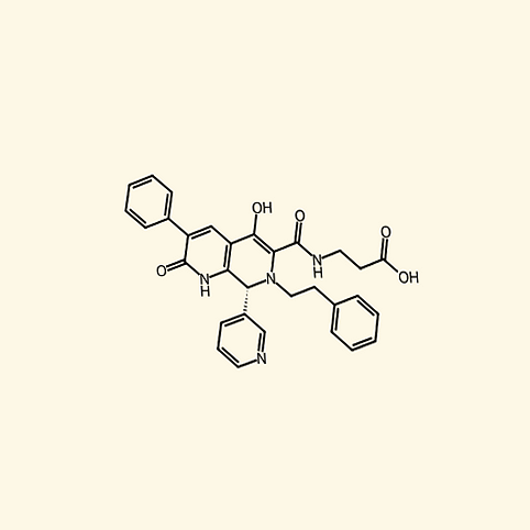 O=C(O)CCNC(=O)C1=C(O)c2cc(-c3ccccc3)c(=O)[nH]c2[C@@H](c2cccnc2)N1CCc1ccccc1